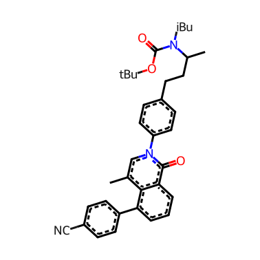 CCC(C)N(C(=O)OC(C)(C)C)C(C)CCc1ccc(-n2cc(C)c3c(-c4ccc(C#N)cc4)cccc3c2=O)cc1